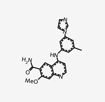 COc1cc2nccc(Nc3cc(C)cc(-n4ccnc4)c3)c2cc1C(N)=O